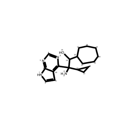 NC(c1ncnc2[nH]ccc12)(C1CC1)C(O)C1CCCCCC1